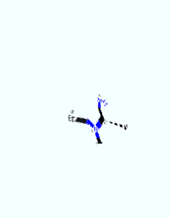 CCN(C)[C@@H](C)N